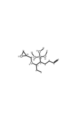 C=CCCC(C(CC)OCC1CO1)[Si](OC)(OC)OC